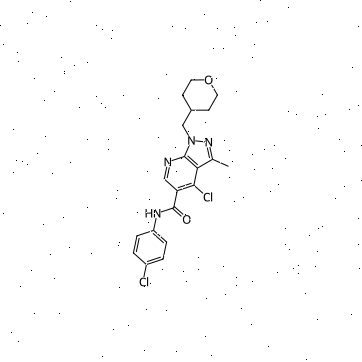 Cc1nn(CC2CCOCC2)c2ncc(C(=O)Nc3ccc(Cl)cc3)c(Cl)c12